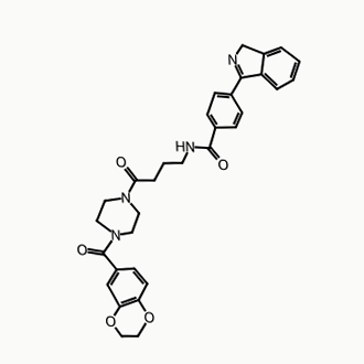 O=C(NCCCC(=O)N1CCN(C(=O)c2ccc3c(c2)OCCO3)CC1)c1ccc(C2=NCc3ccccc32)cc1